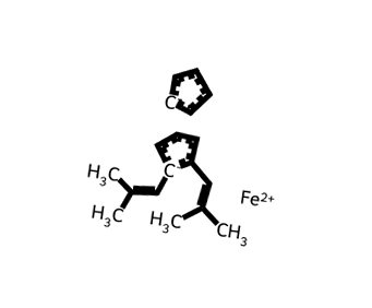 CC(C)=Cc1ccc[c-]1C=C(C)C.[Fe+2].c1cc[cH-]c1